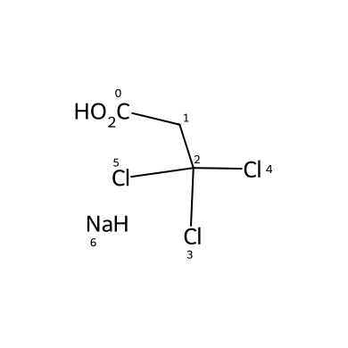 O=C(O)CC(Cl)(Cl)Cl.[NaH]